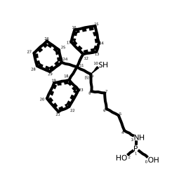 OP(O)NCCCCC[C@H](S)C(c1ccccc1)(c1ccccc1)c1ccccc1